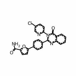 NC(=O)c1ccc(-c2ccc(-c3nc4ccccc4c(=O)n3-c3ccc(Cl)cn3)cc2)o1